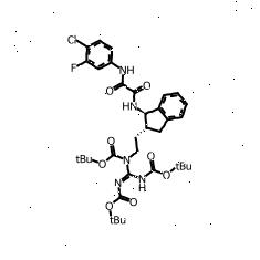 CC(C)(C)OC(=O)/N=C(\NC(=O)OC(C)(C)C)N(CC[C@H]1Cc2ccccc2[C@@H]1NC(=O)C(=O)Nc1ccc(Cl)c(F)c1)C(=O)OC(C)(C)C